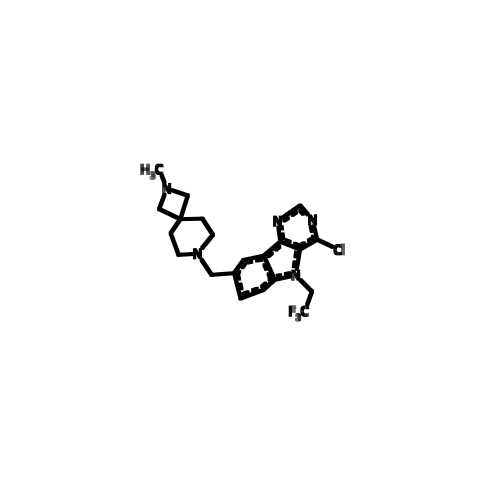 CN1CC2(CCN(Cc3ccc4c(c3)c3ncnc(Cl)c3n4CC(F)(F)F)CC2)C1